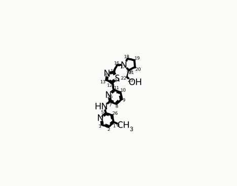 Cc1ccnc(Nc2cccc(-c3cnc(CN4CCC[C@H]4CO)s3)n2)c1